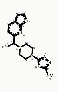 CCCC(c1ccc2scnc2n1)N1CCN(c2nnc(NC)s2)CC1